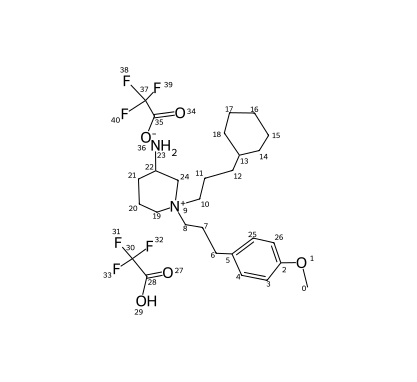 COc1ccc(CCC[N+]2(CCCC3CCCCC3)CCCC(N)C2)cc1.O=C(O)C(F)(F)F.O=C([O-])C(F)(F)F